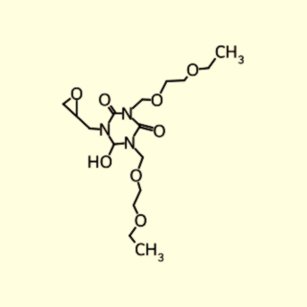 CCOCCOCN1C(=O)N(COCCOCC)C(O)N(CC2CO2)C1=O